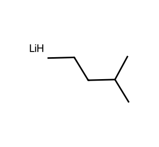 CCCC(C)C.[LiH]